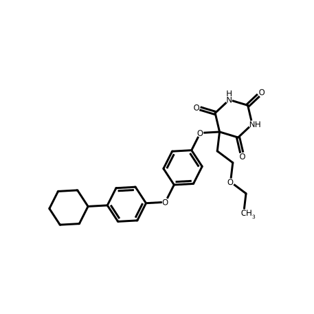 CCOCCC1(Oc2ccc(Oc3ccc(C4CCCCC4)cc3)cc2)C(=O)NC(=O)NC1=O